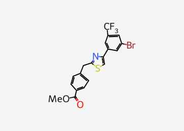 COC(=O)c1ccc(Cc2nc(-c3cc(Br)cc(C(F)(F)F)c3)cs2)cc1